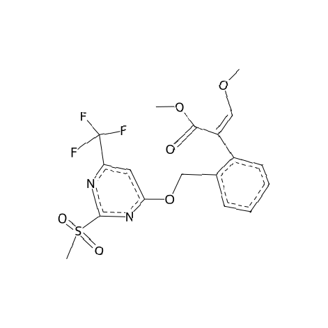 COC=C(C(=O)OC)c1ccccc1COc1cc(C(F)(F)F)nc(S(C)(=O)=O)n1